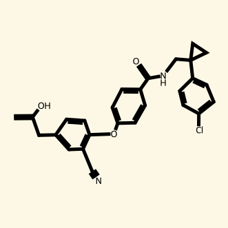 C=C(O)Cc1ccc(Oc2ccc(C(=O)NCC3(c4ccc(Cl)cc4)CC3)cc2)c(C#N)c1